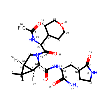 CC1(C)[C@@H]2[C@@H](C(=O)N[C@@H](C[C@@H]3CCNC3=O)C(N)=O)N(C(=O)[C@@H](NC(=O)C(F)(F)F)C3CCOCC3)C[C@@H]21